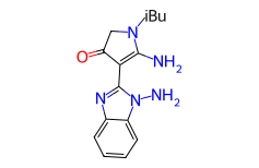 CCC(C)N1CC(=O)C(c2nc3ccccc3n2N)=C1N